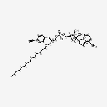 CCCCCCCCCCCCCCOC[C@H](COP(=O)(O)OC[C@@]1(C)OCC(O)(c2ccc3c(N)ncnn23)[C@@H]1O)Oc1ccc(C#N)nc1